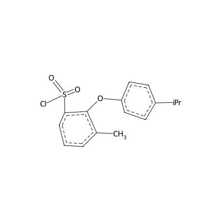 Cc1cccc(S(=O)(=O)Cl)c1Oc1ccc(C(C)C)cc1